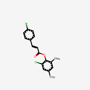 COc1cc(C=O)cc(Cl)c1OC(=O)/C=C/c1ccc(Br)cc1